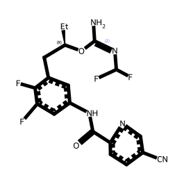 CC[C@H](Cc1cc(NC(=O)c2ccc(C#N)cn2)cc(F)c1F)O/C(N)=N\C(F)F